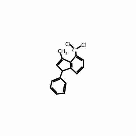 CC1=CC(c2ccccc2)c2ccc[c]([Zr]([Cl])[Cl])c21